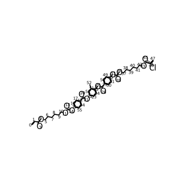 C=CC(=O)OCCCCCCOC(=O)Oc1ccc(C(=O)Oc2ccc(OC(=O)c3ccc(OC(=O)OCCCCCCOC(=O)C(=C)Cl)cc3)c(C)c2)cc1